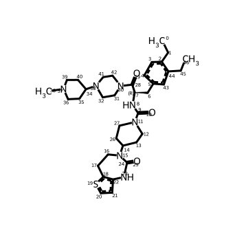 CCc1ccc(C[C@@H](NC(=O)N2CCC(N3CCc4sccc4NC3=O)CC2)C(=O)N2CCN(C3CCN(C)CC3)CC2)cc1CC